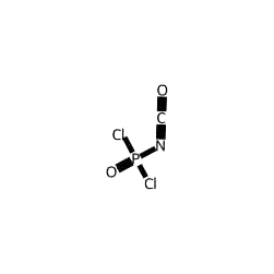 O=C=NP(=O)(Cl)Cl